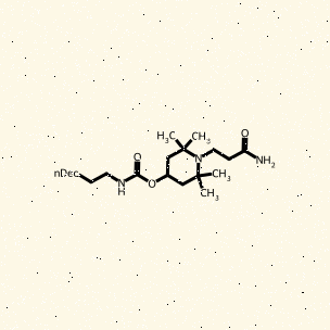 CCCCCCCCCCCCNC(=O)OC1CC(C)(C)N(CCC(N)=O)C(C)(C)C1